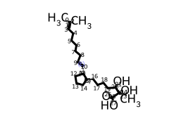 CC(C)=CCCCCC/C=C/[C@H]1CCC[C@@H]1CCCCC(O)C(C)(O)C(=O)O